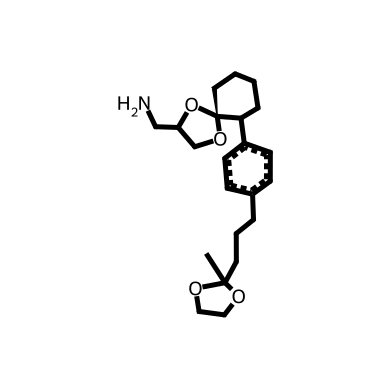 CC1(CCCc2ccc(C3CCCC[C@]34OCC(CN)O4)cc2)OCCO1